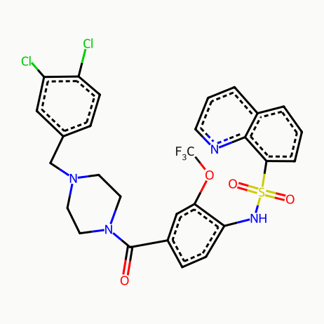 O=C(c1ccc(NS(=O)(=O)c2cccc3cccnc23)c(OC(F)(F)F)c1)N1CCN(Cc2ccc(Cl)c(Cl)c2)CC1